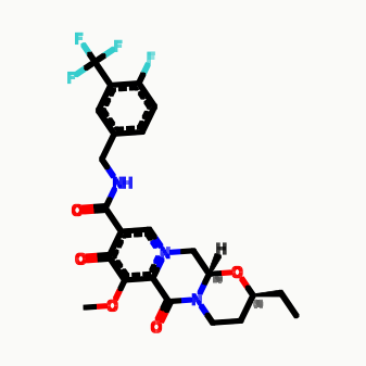 CC[C@H]1CCN2C(=O)c3c(OC)c(=O)c(C(=O)NCc4ccc(F)c(C(F)(F)F)c4)cn3C[C@@H]2O1